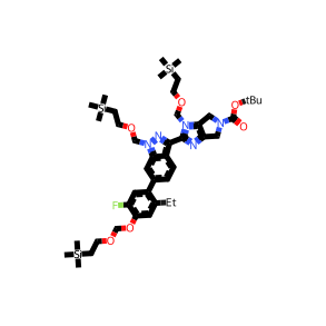 CCc1cc(OCOCC[Si](C)(C)C)c(F)cc1-c1ccc2c(-c3nc4c(n3COCC[Si](C)(C)C)CN(C(=O)OC(C)(C)C)C4)nn(COCC[Si](C)(C)C)c2c1